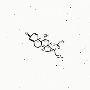 CCCC(=O)O[C@]1(C(=O)COC(C)=O)CC[C@H]2C3=C([C@@H](O)C[C@@]21C)[C@@]1(C)C=CC(=O)C=C1CC3